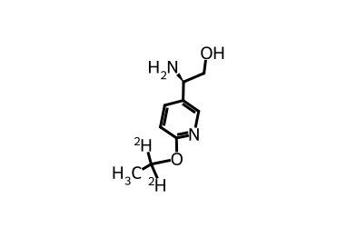 [2H]C([2H])(C)Oc1ccc([C@@H](N)CO)cn1